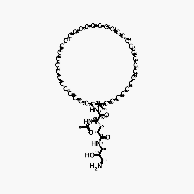 CC(=O)N[C@@H](CCC(=O)NCC(O)CN)C(=O)NC1(C)CCCCCCCCCCCCCCCCCCCCCCCCCCCCCCCCCCCCC1